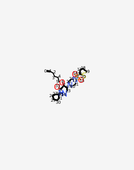 C#CCCCCOc1c(N2CCN(S(=O)(=O)c3cccs3)CC2)cnn(-c2ccccc2)c1=O